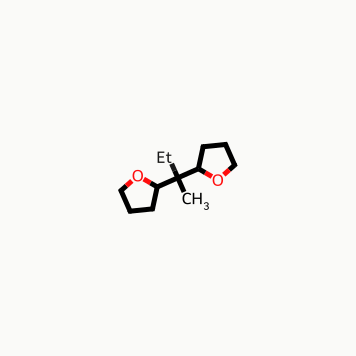 CCC(C)(C1CCCO1)C1CCCO1